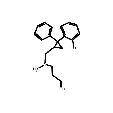 CN(CCCO)CC1CC1(c1ccccc1)c1ccccc1Cl